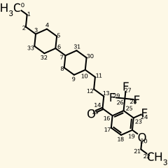 CCCC1CCC(C2CCC(CCCC(=O)c3ccc(OCC)c(F)c3C(F)(F)F)CC2)CC1